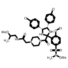 CCOc1ccc(S(=O)(=O)N(C)OC)cc1C1(C(=O)N2CCN(CC(=O)NCC(C)OC)CC2)N[C@H](c2ccc(Cl)cc2)[C@H](c2ccc(Cl)cc2)N1